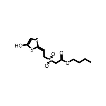 CCCCOC(=O)CS(=O)(=O)CC=C1SC=C(O)S1